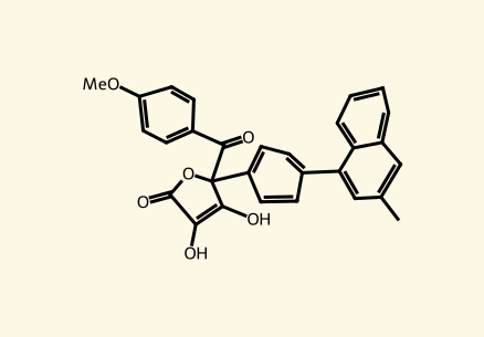 COc1ccc(C(=O)C2(c3ccc(-c4cc(C)cc5ccccc45)cc3)OC(=O)C(O)=C2O)cc1